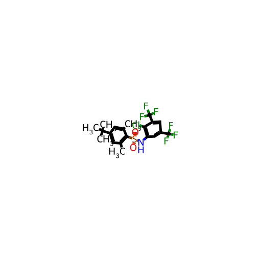 Cc1cc(C(C)(C)C)cc(C)c1S(=O)(=O)Nc1cc(C(F)(F)F)cc(C(F)(F)F)c1Cl